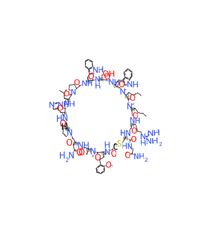 CCCC[C@H]1C(=O)N(C)[C@@H](CCCC)C(=O)N[C@@H](CCCNC(=N)N)C(=O)N[C@H](C(=O)NCC(N)=O)CSCC(=O)N[C@@H](CCc2ccccc2OC)C(=O)N(C)[C@@H](C)C(=O)N[C@@H](CC(N)=O)C(=O)N2CCC[C@H]2C(=O)N[C@@H](Cc2cnc[nH]2)C(=O)N[C@@H](CC(C)C)C(=O)N2CCCC2C(=O)N[C@@H](Cc2c[nH]c3ccccc23)C(=O)N[C@@H](CO)C(=O)N[C@@H](Cc2c[nH]c3ccccc23)C(=O)N1C